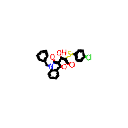 O=c1oc2c(c(O)c1Sc1ccc(Cl)cc1)c(=O)n(Cc1ccccc1)c1ccccc21